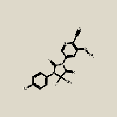 COc1cc(N2C(=O)C(C)(C)N(c3ccc(O)cc3)C2=S)cnc1C#N